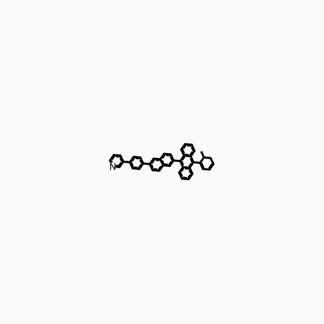 CC1CC=CC=C1c1c2ccccc2c(-c2ccc3cc(-c4ccc(-c5cccnc5)cc4)ccc3c2)c2ccccc12